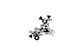 CCN(C1CC1)S(=O)(=O)CC1(NC(=O)N[C@H](C(=O)N2C[C@H]3[C@@H]([C@H]2C(=O)N[C@@H](CCC2CC2)C(=O)C(=O)NC2CC2)C3(C)C)C(C)(C)C)CCCCC1